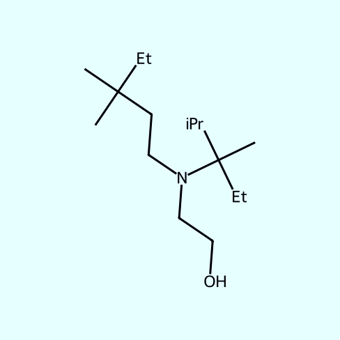 CCC(C)(C)CCN(CCO)C(C)(CC)C(C)C